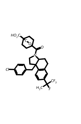 CC(F)(c1ccc2c(c1)CCC1N(C(=O)C34CCC(C(=O)O)(CC3)CO4)CCC21Cc1ccc(Cl)cc1)C(F)(F)F